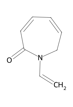 C=CN1CC=CC=CC1=O